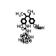 CCC(c1ccc(O)cc1)C(CC)c1ccc(O)c(NC(=O)NCCC(O)(P(=O)(O)O)P(=O)(O)O)c1.[NaH].[NaH]